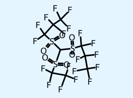 O=S(=O)(C(S(=O)(=O)C(F)(F)C(F)(F)C(F)(F)F)S(=O)(=O)C(F)(F)C(F)(F)C(F)(F)F)C(F)(F)C(F)(F)F